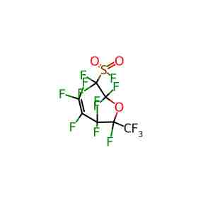 O=S(=O)(F)C(F)(F)C(F)(F)OC(F)(C(F)(F)F)C(F)(F)C(F)=C(F)F